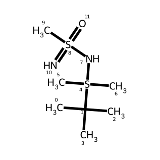 CC(C)(C)S(C)(C)NS(C)(=N)=O